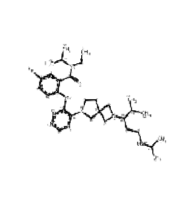 CCN(C(=O)c1cc(F)ccc1Oc1nncnc1N1CCC2(C1)CN([C@H](CCNC(C)C)C(C)C)C2)C(C)C